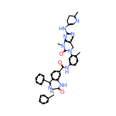 CC1=NC=C(Nc2ncc3c(n2)N(C)C(=O)N(c2cc(NC(=O)c4ccc5c(c4)NC(=O)[C@H](Cc4ccccc4)N=C5c4ccccc4)ccc2C)C3)CC1